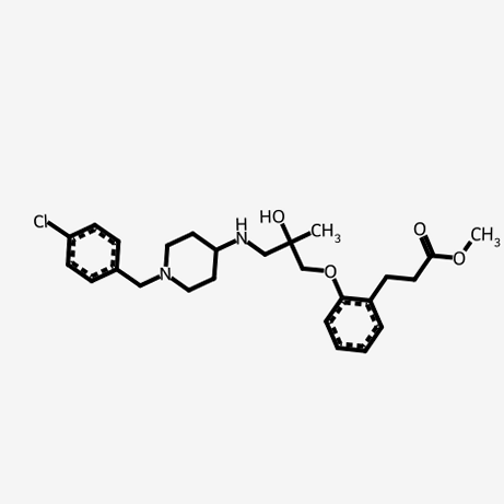 COC(=O)CCc1ccccc1OCC(C)(O)CNC1CCN(Cc2ccc(Cl)cc2)CC1